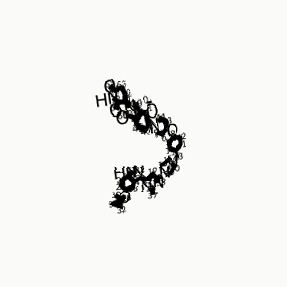 COc1c(N2CCC(O[C@H]3CC[C@H](CN4CCN(c5cc(-c6n[nH]c7ccc(OC8(C)CC8)cc67)nc(C)n5)CC4)CC3)CC2)ccc2c1CN(C1CCC(=O)NC1=O)C2=O